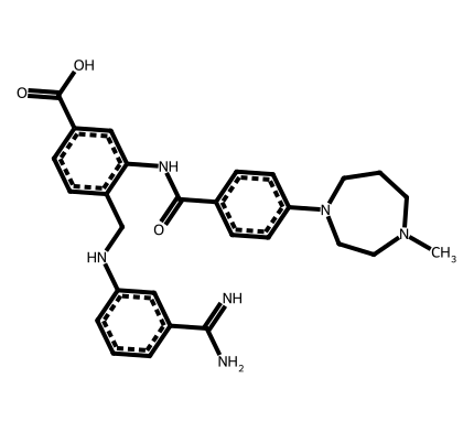 CN1CCCN(c2ccc(C(=O)Nc3cc(C(=O)O)ccc3CNc3cccc(C(=N)N)c3)cc2)CC1